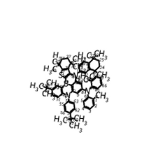 Cc1ccccc1N(c1cc2c3c(c1)N(c1ccc4c(c1)C(C)(C)CCC4(C)C)c1c(sc4c1C(C)(C)CCC4(C)C)B3c1cc(C(C)(C)C)ccc1N2c1ccc(C(C)(C)C)cc1)c1ccccc1C